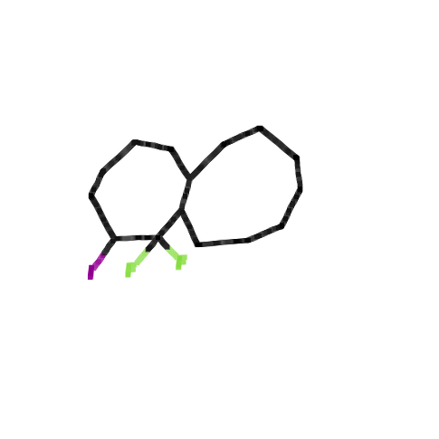 FC1(F)C(I)CCCCC2CCCCCCCC21